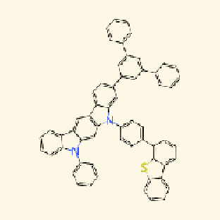 c1ccc(-c2cc(-c3ccccc3)cc(-c3ccc4c5cc6c7ccccc7n(-c7ccccc7)c6cc5n(-c5ccc(-c6cccc7c6sc6ccccc67)cc5)c4c3)c2)cc1